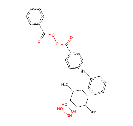 CC(C)c1ccccc1.CC1CCC(C(C)C)CC1.O=C(OOC(=O)c1ccccc1)c1ccccc1.OO.OO